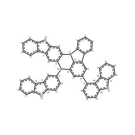 c1ccc2c(c1)B1c3cc4oc5ccccc5c4cc3N(c3ccc4oc5ccccc5c4c3)c3cc(-c4cccc5oc6ccccc6c45)cc-2c31